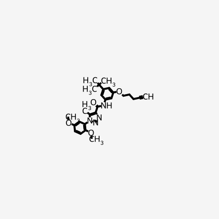 C#CCCCOc1cc(NC(=O)c2nnn(-c3cc(OC)ccc3OC)c2C)cc(C(C)(C)C)c1